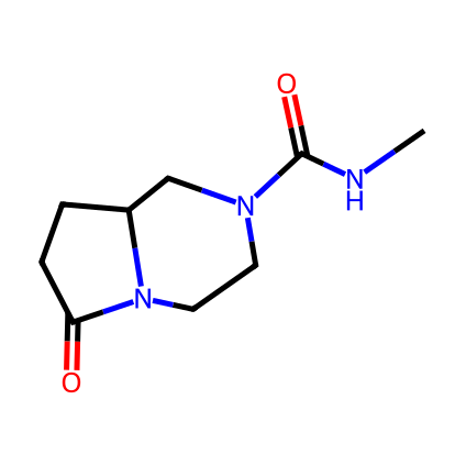 CNC(=O)N1CCN2C(=O)CCC2C1